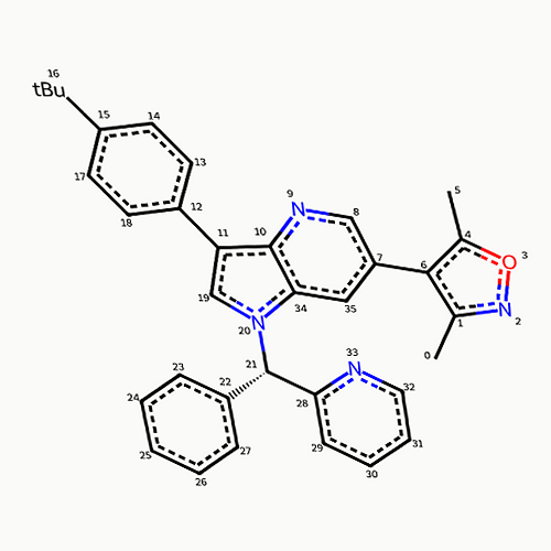 Cc1noc(C)c1-c1cnc2c(-c3ccc(C(C)(C)C)cc3)cn([C@@H](c3ccccc3)c3ccccn3)c2c1